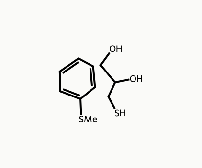 CSc1ccccc1.OCC(O)CS